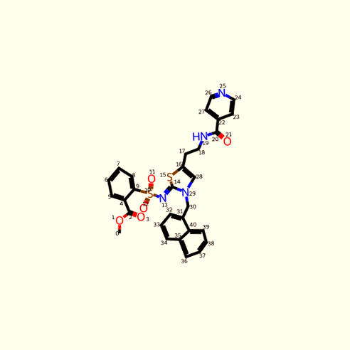 COC(=O)c1ccccc1S(=O)(=O)N=c1sc(CCNC(=O)c2ccncc2)cn1Cc1cccc2ccccc12